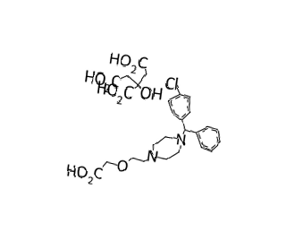 O=C(O)CC(O)(CC(=O)O)C(=O)O.O=C(O)COCCN1CCN(C(c2ccccc2)c2ccc(Cl)cc2)CC1